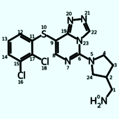 NCC1CCN(c2ncc(Sc3cccc(Cl)c3Cl)c3nncn23)C1